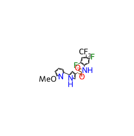 COc1cccc(-c2cc(S(=O)(=O)Nc3cc(F)c(C(F)(F)F)cc3F)c[nH]2)n1